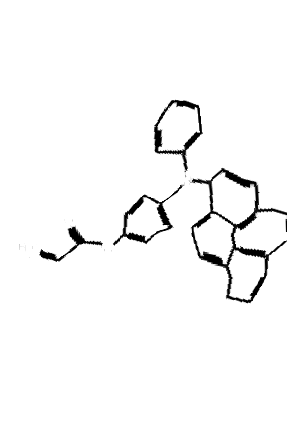 C=CC(=O)Oc1ccc(N(c2ccccc2)C2C=Cc3ccc4c5c(ccc2c35)CC=C4)cc1